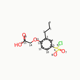 CCCc1cc(S(=O)(=O)Cl)ccc1OCC(=O)O